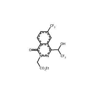 CCOC(=O)Cn1nc(C(O)C(F)(F)F)c2cc(C(F)(F)F)ccc2c1=O